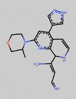 CC1COCCN1c1cc(-c2cn[nH]c2)c2c(n1)C(/C(N)=C/C=N)NC=C2